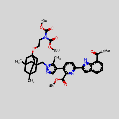 COC(=O)c1cccc2cc(-c3ccc(-c4cnn(CC56CC7(C)CC(C)(C5)CC(OCCN(C(=O)OC(C)(C)C)C(=O)OC(C)(C)C)(C7)C6)c4C)c(C(=O)OC(C)(C)C)n3)[nH]c12